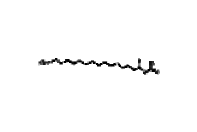 CCCCCCCCCCCCCCCCCCCCCCCCC(F)O[SH](=O)=O